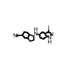 N#Cc1ccc2c(c1)CC[C@@H]2Nc1ccc2[nH]nc(I)c2c1